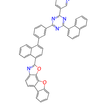 c1cncc(-c2nc(-c3cccc(-c4ccc(-c5nc6ccc7c8ccccc8oc7c6o5)c5ccccc45)c3)nc(-c3cccc4ccccc34)n2)c1